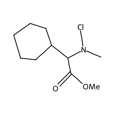 COC(=O)C(C1CCCCC1)N(C)Cl